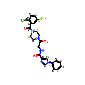 O=C(NCC(=O)N1CCN(C(=O)c2cc(F)ccc2Cl)CC1)c1cn(-c2ccccc2)cn1